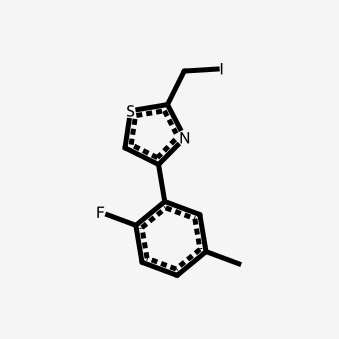 Cc1ccc(F)c(-c2csc(CI)n2)c1